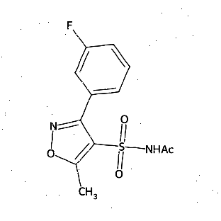 CC(=O)NS(=O)(=O)c1c(-c2cccc(F)c2)noc1C